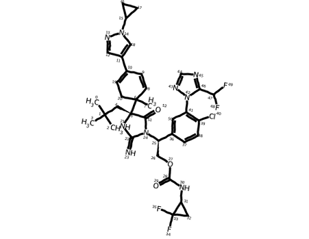 CC(C)(C)C[C@]1(C2(C)C=CC(c3cnn(C4CC4)c3)=CC2)NC(=N)N([C@H](COC(=O)NC2CC2(F)F)c2ccc(Cl)c(-n3ncnc3C(F)F)c2)C1=O